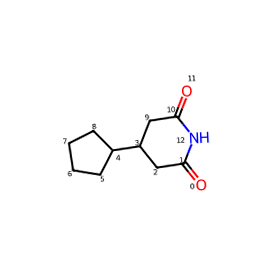 O=C1CC(C2CCCC2)CC(=O)N1